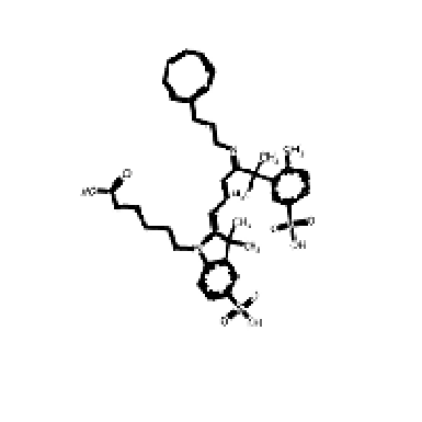 Cc1ccc(S(=O)(=O)O)cc1C(C)(C)C(/C=C/C=C1/N(CCCCCC(=O)O)c2ccc(S(=O)(=O)O)cc2C1(C)C)=N/CCCC1=C/C=C\C=C/C=C\1